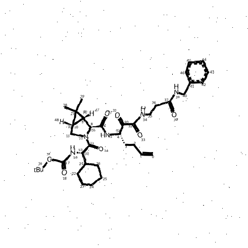 C=CCC[C@H](NC(=O)[C@@H]1[C@@H]2[C@H](CN1C(=O)[C@@H](NC(=O)OC(C)(C)C)C1CCCCC1)C2(C)C)C(=O)C(=O)NCCC(=O)NCc1ccccc1